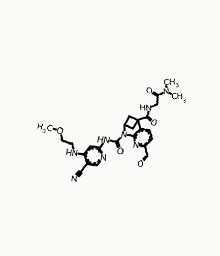 COCCNc1cc(NC(=O)N2c3nc(C=O)ccc3C3(C(=O)NCC(=O)N(C)C)CC2C3)ncc1C#N